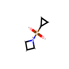 O=S(=O)(C1CC1)N1C[CH]C1